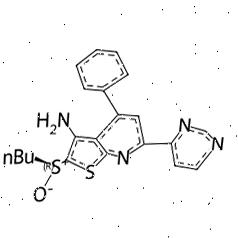 CCCC[S@+]([O-])c1sc2nc(-c3ccncn3)cc(-c3ccccc3)c2c1N